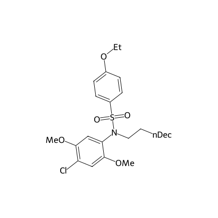 CCCCCCCCCCCCN(c1cc(OC)c(Cl)cc1OC)S(=O)(=O)c1ccc(OCC)cc1